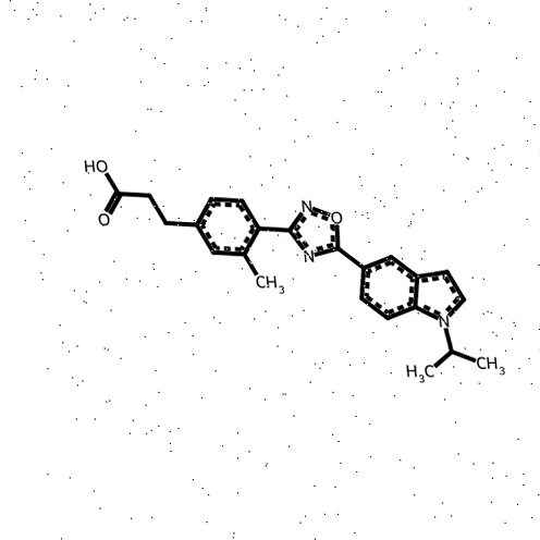 Cc1cc(CCC(=O)O)ccc1-c1noc(-c2ccc3c(ccn3C(C)C)c2)n1